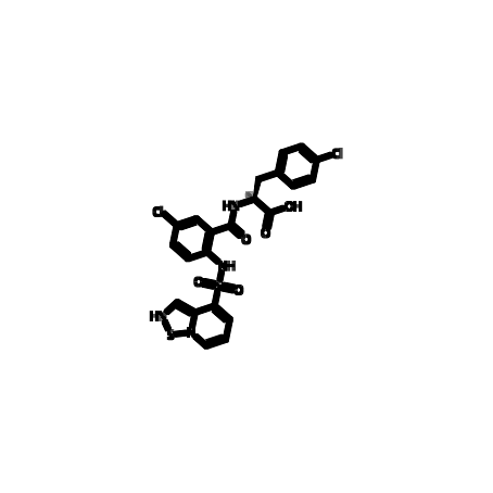 O=C(N[C@@H](Cc1ccc(Cl)cc1)C(=O)O)c1cc(Cl)ccc1NS(=O)(=O)C1=CC=CN2SNC=C12